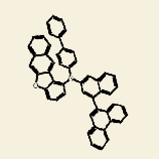 c1ccc(-c2ccc(N(c3cc(-c4cc5ccccc5c5ccccc45)c4ccccc4c3)c3cccc4oc5cc6ccccc6cc5c34)cc2)cc1